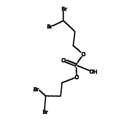 O=P(O)(OCCC(Br)Br)OCCC(Br)Br